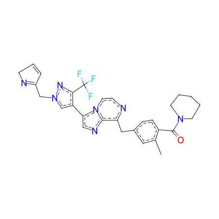 Cc1cc(Cc2nccn3c(-c4cn(CC5=NCC=C5)nc4C(F)(F)F)cnc23)ccc1C(=O)N1CCCCC1